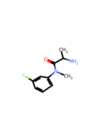 CC(N)C(=O)N(C)c1cccc(F)c1